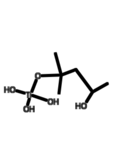 CC(O)CC(C)(C)[O][Ti]([OH])([OH])[OH]